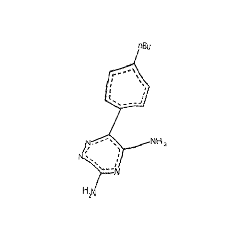 CCCCc1ccc(-c2nnc(N)nc2N)cc1